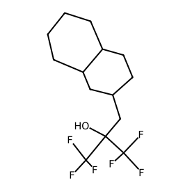 OC(CC1CCC2CCCCC2C1)(C(F)(F)F)C(F)(F)F